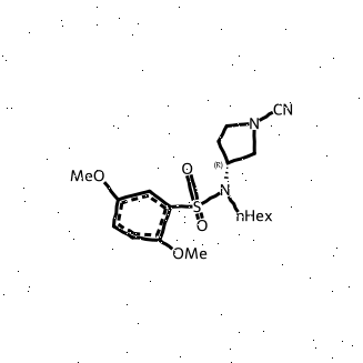 CCCCCCN([C@@H]1CCN(C#N)C1)S(=O)(=O)c1cc(OC)ccc1OC